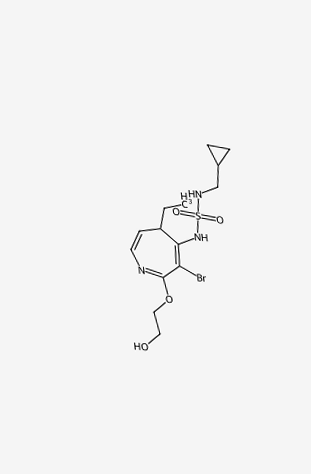 CCC1C=CN=C(OCCO)C(Br)=C1NS(=O)(=O)NCC1CC1